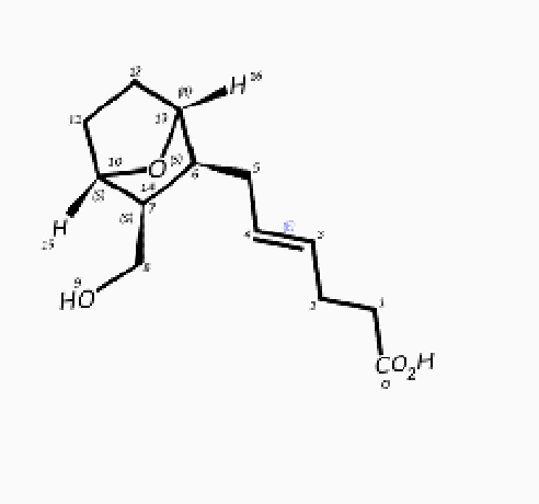 O=C(O)CC/C=C/C[C@H]1[C@@H](CO)[C@@H]2CC[C@H]1O2